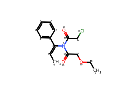 CC=C(c1ccccc1)N(C(=O)CCl)C(=O)COCC